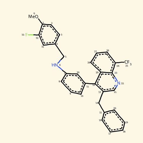 COc1ccc(CNc2cccc(-c3c(Cc4ccccc4)cnc4c(C(F)(F)F)cccc34)c2)cc1F